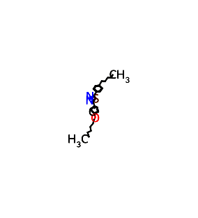 CCCCCCCOc1ccc(-c2nnc(-c3ccc(CCCCC)cc3)s2)cc1